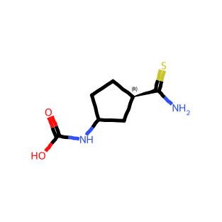 NC(=S)[C@@H]1CCC(NC(=O)O)C1